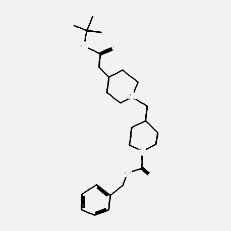 CC(C)(C)OC(=O)CC1CCN(CC2CCN(C(=O)OCc3ccccc3)CC2)CC1